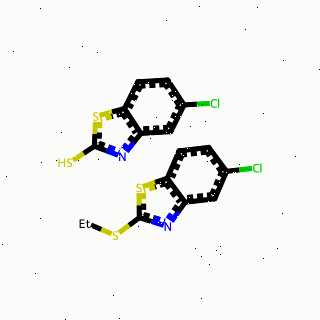 CCSc1nc2cc(Cl)ccc2s1.Sc1nc2cc(Cl)ccc2s1